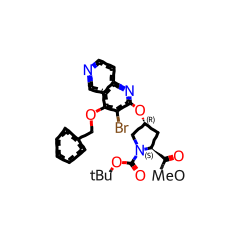 COC(=O)[C@@H]1C[C@@H](Oc2nc3ccncc3c(OCc3ccccc3)c2Br)CN1C(=O)OC(C)(C)C